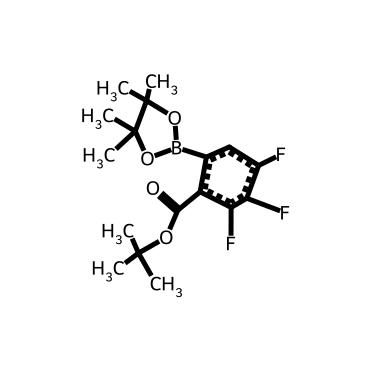 CC(C)(C)OC(=O)c1c(B2OC(C)(C)C(C)(C)O2)cc(F)c(F)c1F